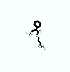 CC=C(C(=O)OCCCC)c1ccccc1